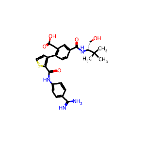 CC(C)(C)[C@@H](CO)NC(=O)c1ccc(-c2ccsc2C(=O)Nc2ccc(C(=N)N)cc2)c(C(=O)O)c1